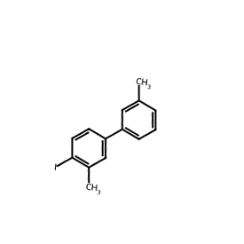 Cc1cccc(-c2ccc(I)c(C)c2)c1